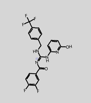 O=C(/N=C(/NCc1ccc(C(F)(F)F)cc1)Nc1cccc(O)n1)c1ccc(F)c(F)c1